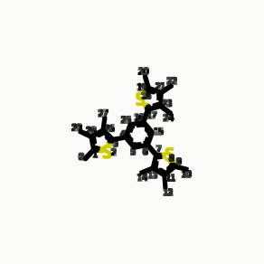 Cc1sc(-c2cc(-c3sc(C)c(C)c3C)cc(-c3sc(C)c(C)c3C)c2)c(C)c1C